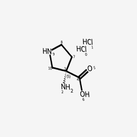 Cl.Cl.N[C@@]1(C(=O)O)CCNC1